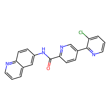 O=C(Nc1ccc2ncccc2c1)c1ccc(-c2ncccc2Cl)cn1